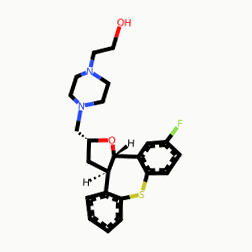 OCCN1CCN(C[C@H]2C[C@@H]3c4ccccc4Sc4ccc(F)cc4[C@H]3O2)CC1